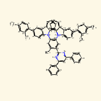 N#Cc1cc(-n2c3ccccc3c3cc(-c4ccc(C(F)(F)F)cc4C(F)(F)F)ccc32)c(-n2c3ccccc3c3cc(-c4ccc(C(F)(F)F)cc4C(F)(F)F)ccc32)cc1-c1nc(-c2ccccc2)cc(-c2ccccc2)n1